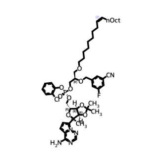 CCCCCCCC/C=C\CCCCCCCCOC[C@H](COP(=O)(OC[C@H]1O[C@@](C)(c2ccc3c(N)ncnn23)[C@@H]2OC(C)(C)O[C@@H]21)Oc1ccccc1Cl)OCc1cc(F)cc(C#N)c1